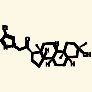 CCc1cnn(CC(=O)[C@H]2CC[C@H]3[C@@H]4CC[C@@H]5C[C@](C)(O)CC[C@]5(C)[C@H]4CC[C@]23C)c1